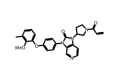 C=CC(=O)N1CCC(n2c(=O)n(-c3ccc(Oc4cccc(C)c4OC)cc3)c3cnccc32)C1